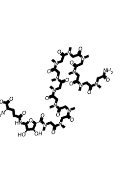 CN(CC(N)=O)C(=O)CN(C)C(=O)CN(C)C(=O)CN(C)C(=O)CN(C)C(=O)CN(C)C(=O)CN(C)C(=O)CN(C)C(=O)CN(C)C(=O)CN(C)C(=O)CN(C)C(=O)CN(C)C(=O)[C@H]1OC(NC(=O)CC[C@H](N)C(=O)O)[C@H](O)[C@@H]1O